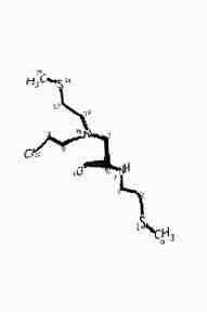 CSCCNC(=O)CN(CCCl)CCSC